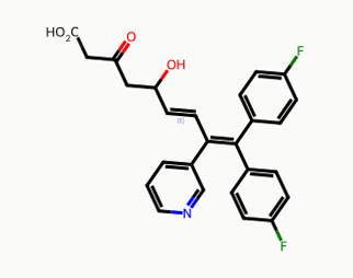 O=C(O)CC(=O)CC(O)/C=C/C(=C(c1ccc(F)cc1)c1ccc(F)cc1)c1cccnc1